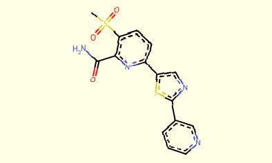 CS(=O)(=O)c1ccc(-c2cnc(-c3cccnc3)s2)nc1C(N)=O